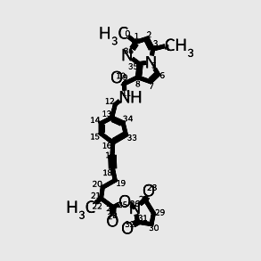 Cc1cc(C)n2ccc(C(=O)NCc3ccc(C#CCCC(C)C(=O)ON4C(=O)CCC4=O)cc3)c2n1